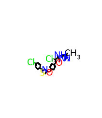 Cc1cn(C2OC(c3ccc(Oc4csc(-c5ccc(Cl)cc5)n4)cc3)[C@@H](Cl)C2N)cn1